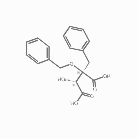 O=C(O)[C@H](O)[C@@](Cc1ccccc1)(OCc1ccccc1)C(=O)O